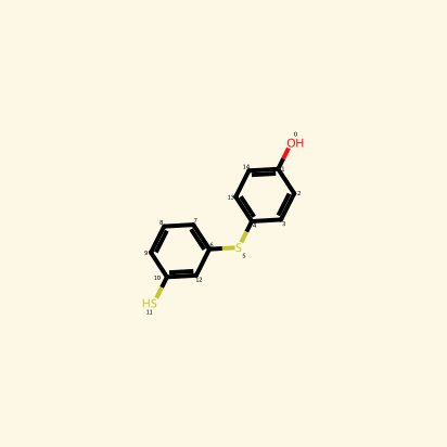 Oc1ccc(Sc2cccc(S)c2)cc1